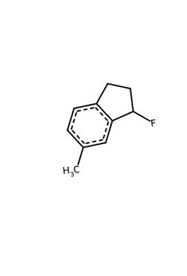 Cc1ccc2c(c1)C(F)CC2